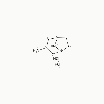 Cl.Cl.NC1CC2CCC(C1)N2